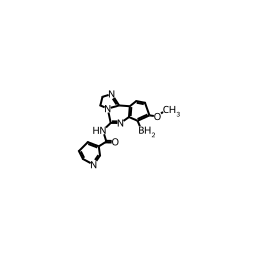 Bc1c(OC)ccc2c1N=C(NC(=O)c1cccnc1)N1CCN=C21